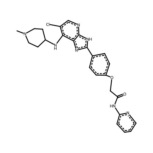 CN1CCC(Nc2c(Cl)cnc3[nH]c(-c4ccc(OCC(=O)Nc5ccccn5)cc4)nc23)CC1